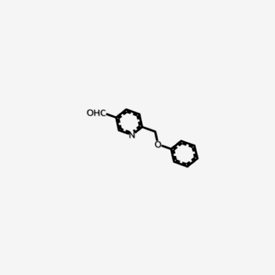 O=Cc1ccc(COc2ccccc2)nc1